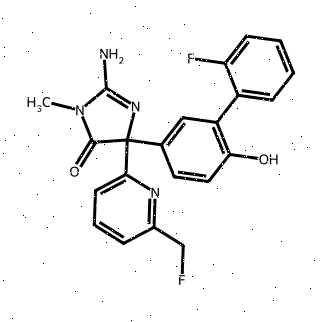 CN1C(=O)C(c2ccc(O)c(-c3ccccc3F)c2)(c2cccc(CF)n2)N=C1N